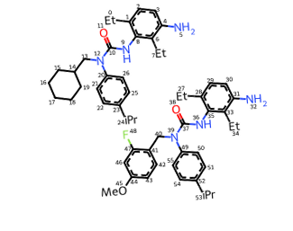 CCc1ccc(N)c(CC)c1NC(=O)N(CC1CCCCC1)c1ccc(C(C)C)cc1.CCc1ccc(N)c(CC)c1NC(=O)N(Cc1ccc(OC)cc1F)c1ccc(C(C)C)cc1